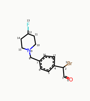 O=CC(Br)c1ccc(CN2CCC(F)CC2)cc1